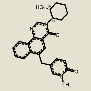 Cn1cc(Cc2cc3c(=O)n([C@@H]4CCCC[C@H]4O)cnc3c3ccccc23)ccc1=O